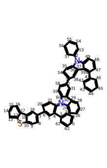 c1ccc(-c2cc(-c3ccc4sc5ccccc5c4c3)ccc2-n2c3ccccc3c3cc(-c4ccc5c(c4)c4c(-c6ccccc6)cccc4n5-c4ccccc4)ccc32)cc1